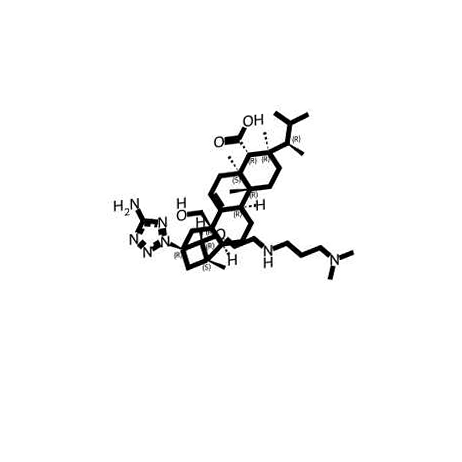 CC(C)[C@@H](C)[C@@]1(C)CC[C@]2(C)[C@H]3CC[C@@H]4[C@](CO)(C[C@@]5(n6nnc(N)n6)C[C@]4(C)[C@H]5OCCNCCCN(C)C)C3=CC[C@@]2(C)[C@@H]1C(=O)O